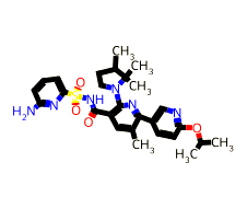 Cc1cc(C(=O)NS(=O)(=O)c2cccc(N)n2)c(N2CCC(C)C2(C)C)nc1-c1ccc(OC(C)C)nc1